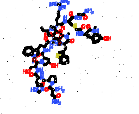 CCCC[C@@H](C(=O)N(C)[C@@H](CCCC)C(=O)N[C@@H](CCCNC(=N)N)C(=O)NC(CSCC(=O)N[C@@H](Cc1ccc(O)cc1)C(=O)NC)C(=O)NCC(N)=O)N(C)C(=O)[C@H](Cc1csc2ccccc12)NC(=O)[C@H](CO)NC(=O)[C@H](Cc1c[nH]c2ccccc12)NC(=O)[C@@H]1C[C@@H](O)CN1C(=O)[C@H](CO)NC(=O)[C@H](Cc1cnc[nH]1)NC(=O)[C@@H]1CCCN1C(=O)[C@@H](N)CC(N)=O